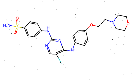 NS(=O)(=O)c1ccc(Nc2ncc(F)c(Nc3ccc(OCCN4CCOCC4)cc3)n2)cc1